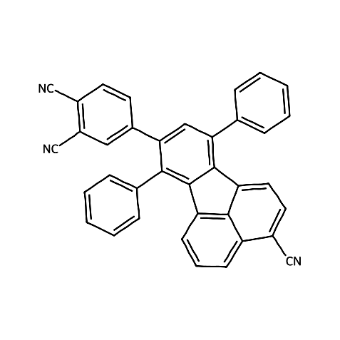 N#Cc1ccc(-c2cc(-c3ccccc3)c3c(c2-c2ccccc2)-c2cccc4c(C#N)ccc-3c24)cc1C#N